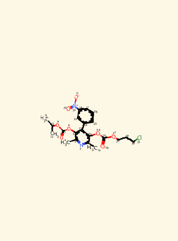 Cc1nc(C)c(OC(=O)OC(C)C)c(-c2cccc([N+](=O)[O-])c2)c1OC(=O)OCCCCl